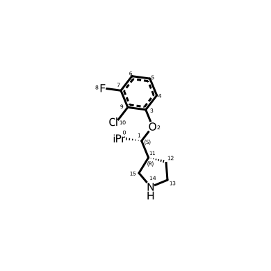 CC(C)[C@H](Oc1cccc(F)c1Cl)[C@@H]1CCNC1